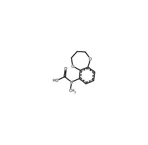 CN(C(=O)O)c1cccc2c1OCCCO2